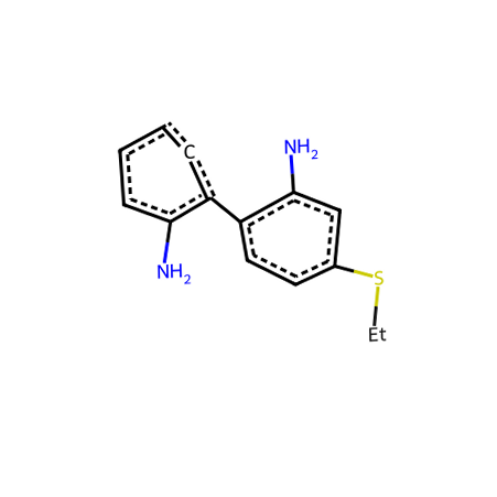 CCSc1ccc(-c2ccccc2N)c(N)c1